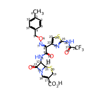 Cc1ccc(CON=C(C(=O)NC2C(=O)N3C=C(C(=O)O)CS[C@H]23)c2csc(NC(=O)C(F)(F)F)n2)cc1